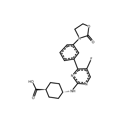 O=C1OCCN1c1cccc(-c2nc(N[C@H]3CC[C@H](C(=O)O)CC3)ncc2F)c1